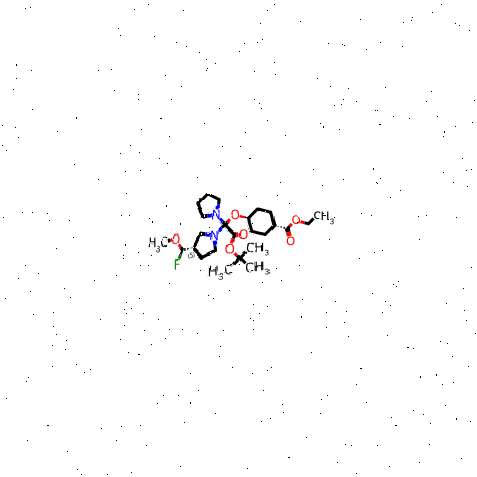 CCOC(=O)[C@H]1CC[C@H](OC(C(=O)OC(C)(C)C)(N2CCCC2)N2CC[C@H](C(F)OC)C2)CC1